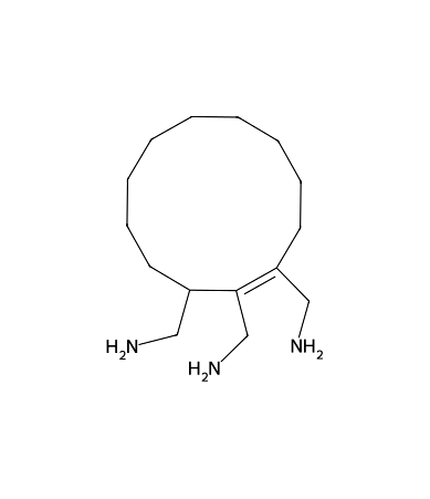 NCC1=C(CN)C(CN)CCCCCCCCC1